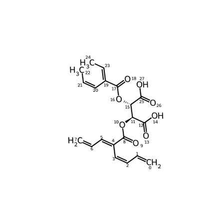 C=C/C=C\C(=C/C=C)C(=O)O[C@H](C(=O)O)[C@H](OC(=O)C(/C=C\C)=C/C)C(=O)O